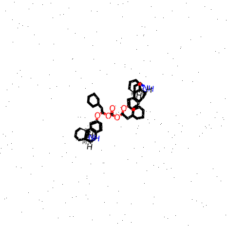 O=C(OC(CC1CCCCC1)Oc1ccc2c(c1)[C@@]13CCCC[C@H]1[C@@H](C2)NCC3)OC(CC1CCCCC1)Oc1ccc2c(c1)[C@@]13CCCC[C@H]1[C@@H](C2)NCC3